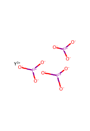 [O-][I+2]([O-])[O-].[O-][I+2]([O-])[O-].[O-][I+2]([O-])[O-].[Y+3]